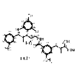 CCCCC(C)NCc1cc(C)cc(C(=O)N[C@@H](Cc2cc(F)cc(F)c2)[C@H](O)CNCc2cccc(CC)c2)c1.Cl